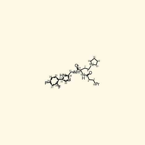 CC(C)CCC(=O)NC(CCN1CCCC1)C(=O)NCc1ncc(-c2ccc(F)cc2F)[nH]1